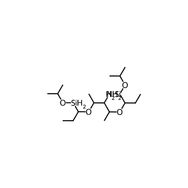 CCC(OC(C)C(N)C(C)OC(CC)[SiH2]OC(C)C)[SiH2]OC(C)C